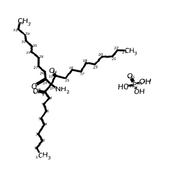 CCCCCCCCCC(=O)C(N)(C(=O)CCCCCCCCC)C(=O)CCCCCCCCC.O=P(O)(O)O